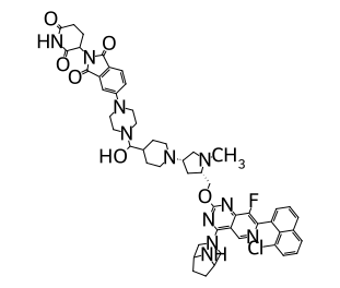 CN1C[C@@H](N2CCC(C(O)N3CCN(c4ccc5c(c4)C(=O)N(C4CCC(=O)NC4=O)C5=O)CC3)CC2)C[C@H]1COc1nc(N2CC3CCC(C2)N3)c2cnc(-c3cccc4cccc(Cl)c34)c(F)c2n1